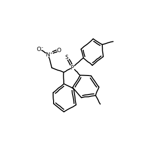 Cc1ccc(P(=S)(c2ccc(C)cc2)C(C[N+](=O)[O-])c2ccccc2)cc1